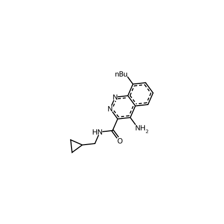 CCCCc1cccc2c(N)c(C(=O)NCC3CC3)nnc12